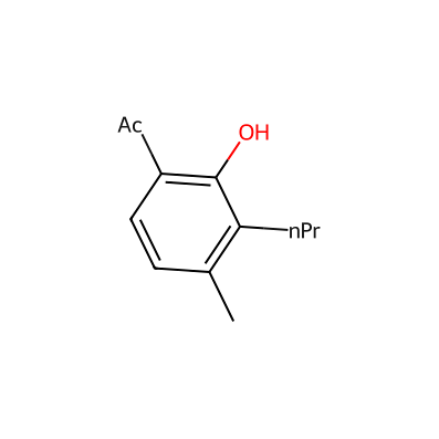 CCCc1c(C)ccc(C(C)=O)c1O